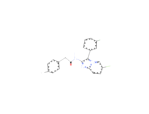 O=C(Cc1ccc(C(F)(F)F)cc1)Nc1nc2ccc(F)cn2c1-c1cccc(Cl)c1